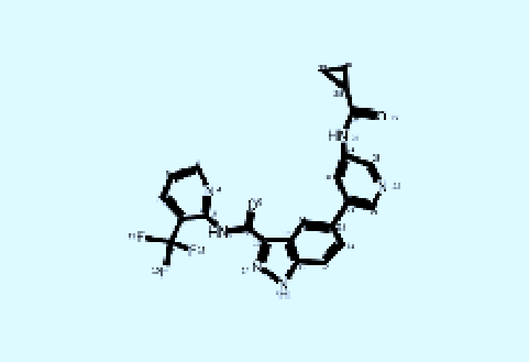 O=C(Nc1ncccc1C(F)(F)F)c1n[nH]c2ccc(-c3cncc(NC(=O)C4CC4)c3)cc12